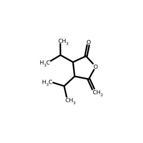 C=C1OC(=O)C(C(C)C)C1C(C)C